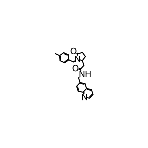 Cc1ccc(CN2C(=O)CCC2CC(=O)NCc2ccc3ncccc3c2)cc1